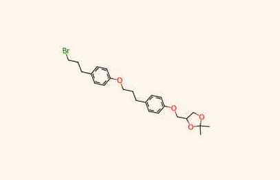 CC1(C)OCC(COc2ccc(CCCOc3ccc(CCCBr)cc3)cc2)O1